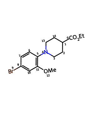 CCOC(=O)C1CCN(c2ccc(Br)cc2OC)CC1